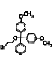 COc1ccc(C(OCCBr)(c2ccccc2)c2ccc(OC)cc2)cc1